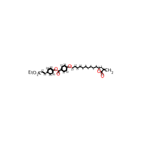 C=C1CC(CCCCCCCCCCOc2ccc(C(=O)Oc3ccc(/C=C/C(=O)OCC)cc3)cc2)OC1=O